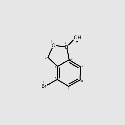 OB1OCc2c(Br)cccc21